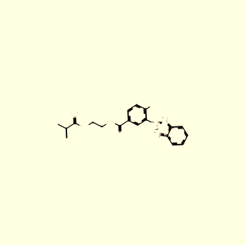 CC(C)C(=O)OCCOC(=O)c1ccc(O)c(-n2nc3ccccc3n2)c1